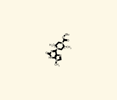 C[C@@H]1CN(c2nc(=O)[nH]c3c2ncn3C)[C@@H](C)CN1C(=O)OC(C)(C)C